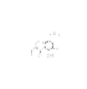 CC(C)N1CCn2c(CN)cc(=O)c(O)c2C1=O